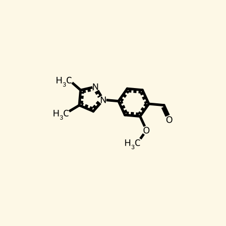 COc1cc(-n2cc(C)c(C)n2)ccc1C=O